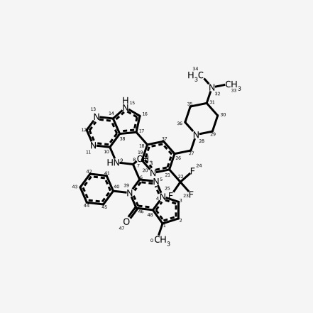 Cc1ccn2nc(C(C)Nc3ncnc4[nH]cc(-c5cnc(C(F)(F)F)c(CN6CCC(N(C)C)CC6)c5)c34)n(-c3ccccc3)c(=O)c12